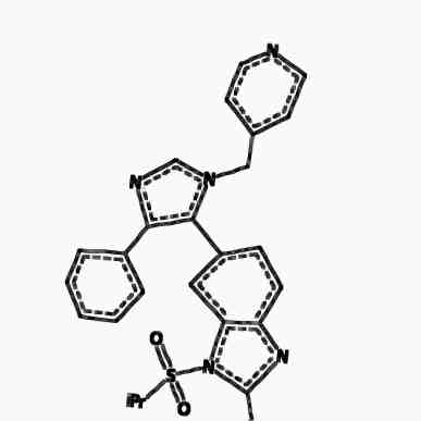 CC(C)S(=O)(=O)n1c(N)nc2ccc(-c3c(-c4ccccc4)ncn3Cc3ccncc3)cc21